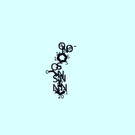 CC(OSc1ccc([N+](=O)[O-])cc1)c1nnc(-c2ncccn2)s1